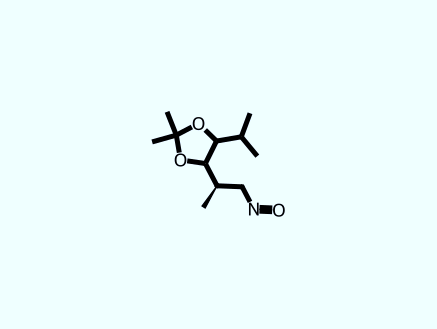 CC(C)C1OC(C)(C)OC1[C@H](C)CN=O